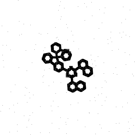 CC1C=CC=CC1C1(c2ccccc2)c2ccccc2-c2ccc(-c3nc(-c4cccc5ccccc45)nc(-c4cccc5ccccc45)n3)cc21